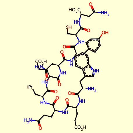 CC(C)C[C@H](NC(=O)[C@H](CCC(N)=O)NC(=O)[C@H](CCC(=O)O)NC(=O)[C@@H](N)Cc1c[nH]c2ccccc12)C(=O)N[C@@H](CCC(=O)O)C(=O)N[C@@H](CC(N)=O)C(=O)N[C@@H](Cc1ccc(O)cc1)C(=O)N[C@@H](CS)C(=O)N[C@@H](CC(N)=O)C(=O)O